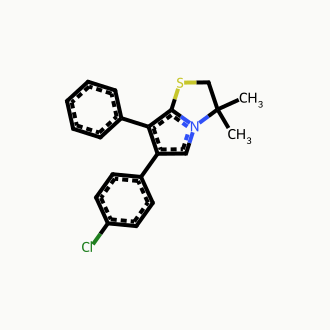 CC1(C)CSc2c(-c3ccccc3)c(-c3ccc(Cl)cc3)cn21